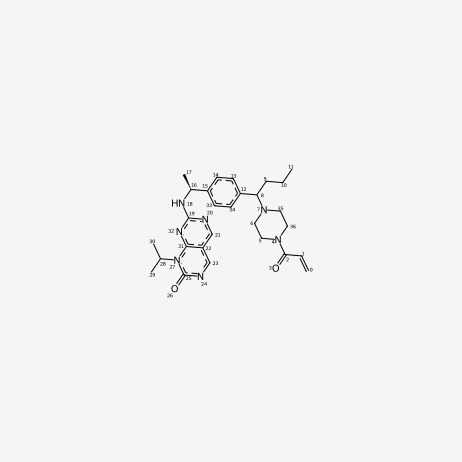 C=CC(=O)N1CCN(C(CCC)c2ccc([C@H](C)Nc3ncc4cnc(=O)n(C(C)C)c4n3)cc2)CC1